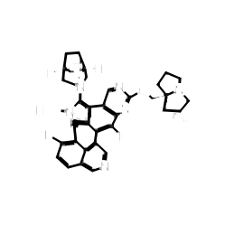 C#Cc1c(F)ccc2cncc(-c3c(F)c4nc(OC[C@@]56CCCN5C[C@H](F)C6)ncc4c4c(N5C[C@H]6CC[C@@H](C5)N6)n(C)nc34)c12